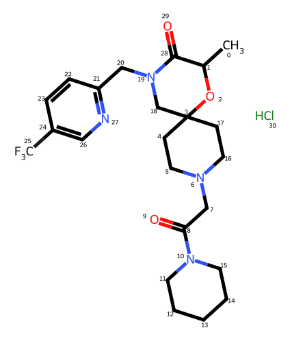 CC1OC2(CCN(CC(=O)N3CCCCC3)CC2)CN(Cc2ccc(C(F)(F)F)cn2)C1=O.Cl